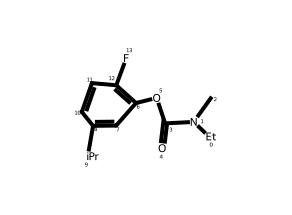 CCN(C)C(=O)Oc1cc(C(C)C)ccc1F